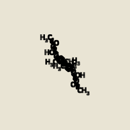 CC=CC(=O)OCC(O)COc1ccc(C(C)(C)c2ccc(OCC(O)COC(=O)C=CC)c(C)c2)cc1C